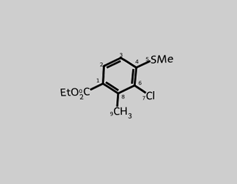 CCOC(=O)c1ccc(SC)c(Cl)c1C